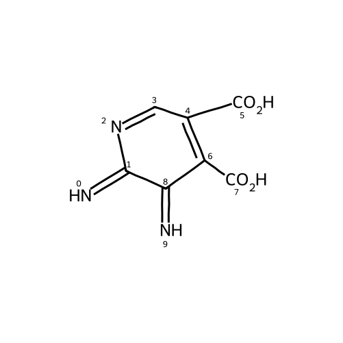 N=C1N=CC(C(=O)O)=C(C(=O)O)C1=N